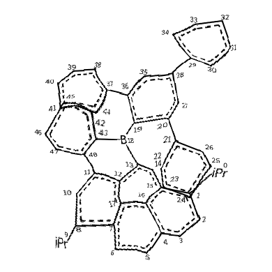 CC(C)c1ccc2ccc3c(C(C)C)cc4c5c(cc1c2c35)B(c1c(-c2ccccc2)cc(-c2ccccc2)cc1-c1ccccc1)c1ccccc1-4